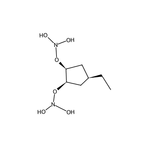 CC[C@@H]1C[C@H](ON(O)O)[C@H](ON(O)O)C1